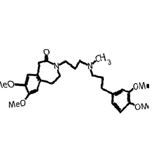 COc1ccc(CCCN(C)CCCN2CCc3cc(OC)c(OC)cc3CC2=O)cc1OC